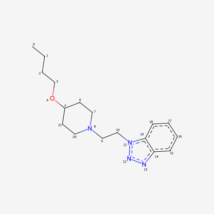 CCCCOC1CCN(CCn2nnc3ccccc32)CC1